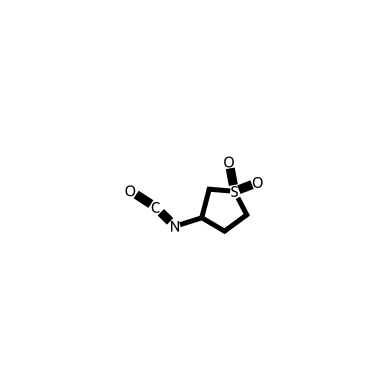 O=C=NC1CCS(=O)(=O)C1